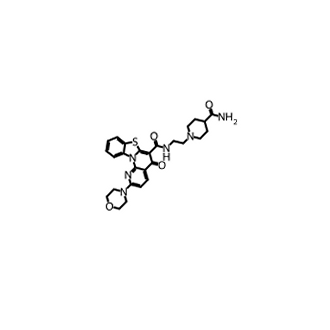 NC(=O)C1CCN(CCNC(=O)c2c(=O)c3ccc(N4CCOCC4)nc3n3c2sc2ccccc23)CC1